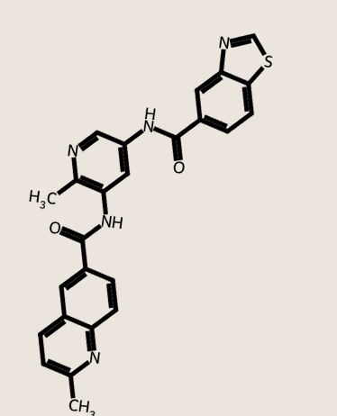 Cc1ccc2cc(C(=O)Nc3cc(NC(=O)c4ccc5scnc5c4)cnc3C)ccc2n1